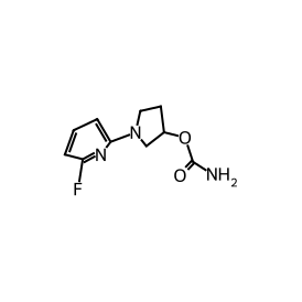 NC(=O)OC1CCN(c2cccc(F)n2)C1